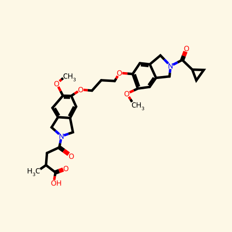 COc1cc2c(cc1OCCCOc1cc3c(cc1OC)CN(C(=O)C1CC1)C3)CN(C(=O)CC(C)C(=O)O)C2